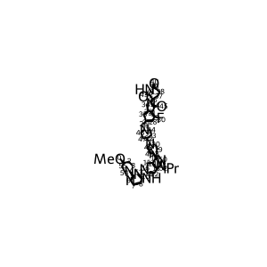 COC1CCN(c2nccc(Nc3cc4c(cn3)c(N3CCN(C5CCN(Cc6cc(F)c7c(c6)CN(C6CCC(=O)NC6=O)C7=O)CC5)CC3)nn4C(C)C)n2)CC1